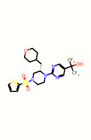 O=S(=O)(c1cccs1)N1CCN(c2ncc(C(O)(C(F)(F)F)C(F)(F)F)cn2)[C@@H](CC2CCOCC2)C1